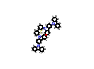 c1cc(-n2c3ccccc3c3cc(-n4c5ccccc5c5ccccc54)ccc32)c2sc3c(-n4c5ccccc5c5cc(-n6c7ccccc7c7ccccc76)ccc54)cccc3c2c1